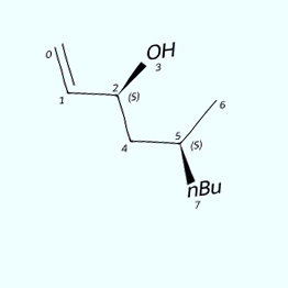 C=C[C@@H](O)C[C@@H](C)CCCC